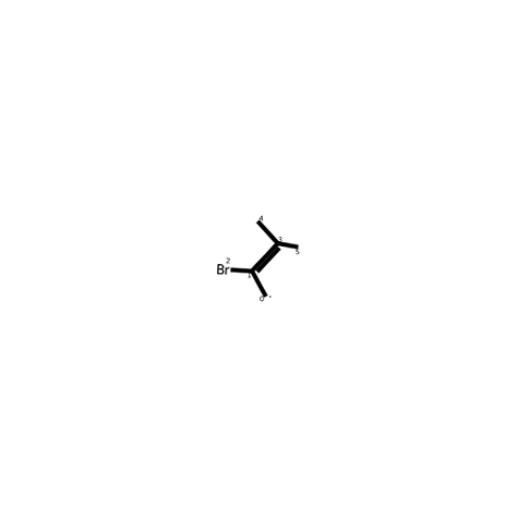 [CH2]C(Br)=C(C)C